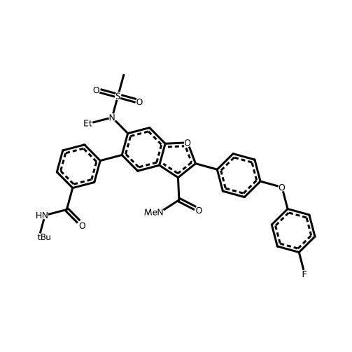 CCN(c1cc2oc(-c3ccc(Oc4ccc(F)cc4)cc3)c(C(=O)NC)c2cc1-c1cccc(C(=O)NC(C)(C)C)c1)S(C)(=O)=O